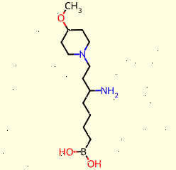 COC1CCN(CCC(N)CCCCB(O)O)CC1